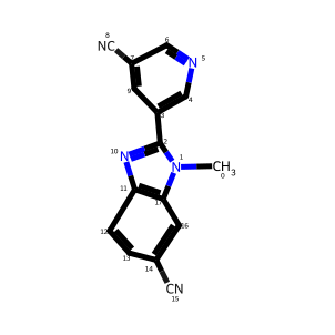 Cn1c(-c2cncc(C#N)c2)nc2ccc(C#N)cc21